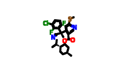 CSc1ncc(C(=O)O[C@H]2C[C@@H](C)CC[C@@H]2C(C)C)c([C@](C)(C#N)c2cccc(Cl)c2F)c1F